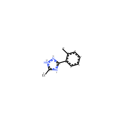 [CH2]Cc1nc(-c2ccccc2C)n[nH]1